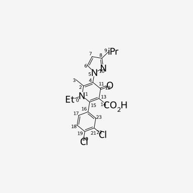 CCn1c(C)c(-n2ccc(C(C)C)n2)c(=O)c(C(=O)O)c1-c1ccc(Cl)c(Cl)c1